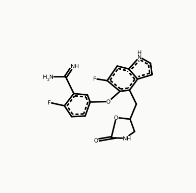 N=C(N)c1cc(Oc2c(F)cc3[nH]ccc3c2CC2CNC(=O)O2)ccc1F